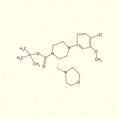 COc1cc(N2CCN(C(=O)OC(C)(C)C)[C@@H](CN3CCOCC3)C2)ccc1Cl